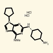 CNc1nc(N[C@H]2CC[C@H](N)CC2)nc2c1ncn2C1CCCC1.Cl.Cl